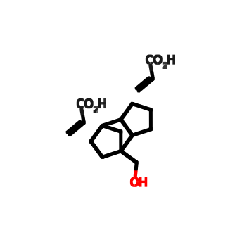 C=CC(=O)O.C=CC(=O)O.OCC12CCC(C1)C1CCCC12